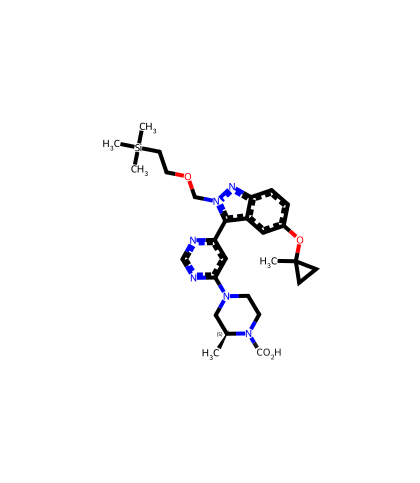 C[C@H]1CN(c2cc(-c3c4cc(OC5(C)CC5)ccc4nn3COCC[Si](C)(C)C)ncn2)CCN1C(=O)O